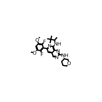 COc1cc(OC)c(F)c(-c2cc3cnc(N[C@H]4CCCOC4)nc3c(NC(C)C(C)(C)C)n2)c1F